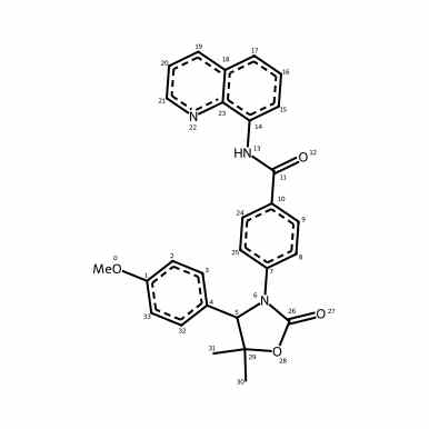 COc1ccc(C2N(c3ccc(C(=O)Nc4cccc5cccnc45)cc3)C(=O)OC2(C)C)cc1